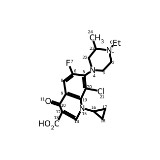 CCN1CCN(c2c(F)cc3c(=O)c(C(=O)O)cn(C4CC4)c3c2Cl)CC1C